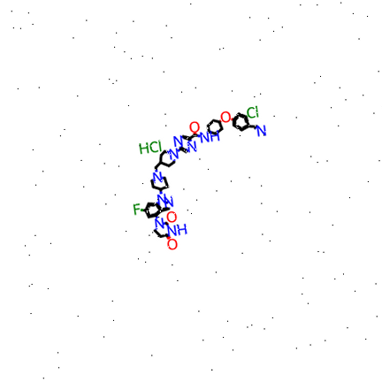 Cl.N#Cc1ccc(OC2CCC(NC(=O)c3cnc(N4CCC(CN5CCC(n6ncc7c(N8CCC(=O)NC8=O)cc(F)cc76)CC5)CC4)cn3)CC2)cc1Cl